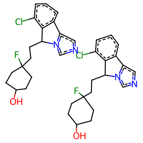 OC1CCC(F)(CCC2c3c(Cl)cccc3-c3cncn32)CC1.OC1CCC(F)(CCC2c3c(Cl)cccc3-c3cncn32)CC1